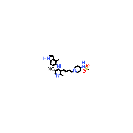 Cc1ncc(C#N)c(Nc2ccc3[nH]ccc3c2C)c1C=CCCN1CCC(NS(C)(=O)=O)CC1